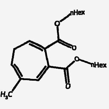 CCCCCCOC(=O)C1=CCC=C(C)C=C1C(=O)OCCCCCC